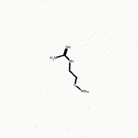 CNOCCNC(=N)N